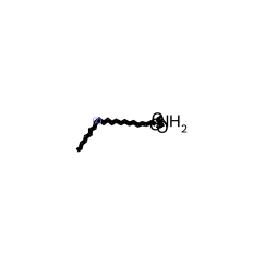 CCCCCCCC/C=C\CCCCCCCCCCCCOS(N)(=O)=O